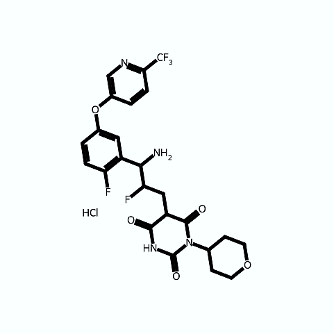 Cl.NC(c1cc(Oc2ccc(C(F)(F)F)nc2)ccc1F)C(F)CC1C(=O)NC(=O)N(C2CCOCC2)C1=O